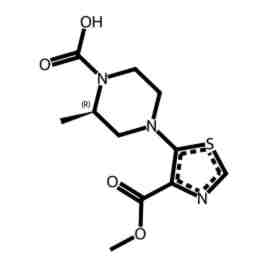 COC(=O)c1ncsc1N1CCN(C(=O)O)[C@H](C)C1